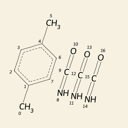 Cc1ccc(C)cc1.N=C=O.N=C=O.N=C=O